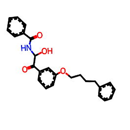 O=C(NC(O)C(=O)c1cccc(OCCCCc2ccccc2)c1)c1ccccc1